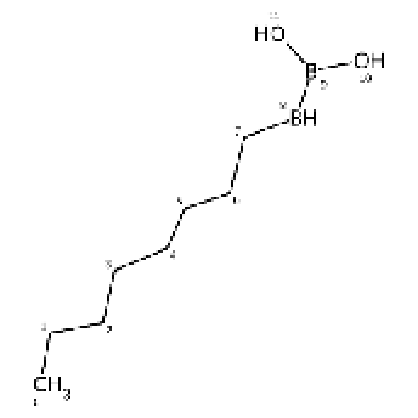 CCCCCCCCBB(O)O